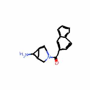 NC1C2CN(C(=O)c3ccc4ccccc4c3)CC12